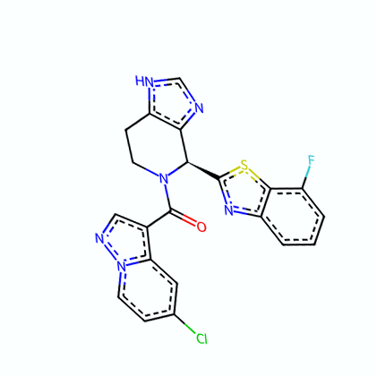 O=C(c1cnn2ccc(Cl)cc12)N1CCc2[nH]cnc2[C@H]1c1nc2cccc(F)c2s1